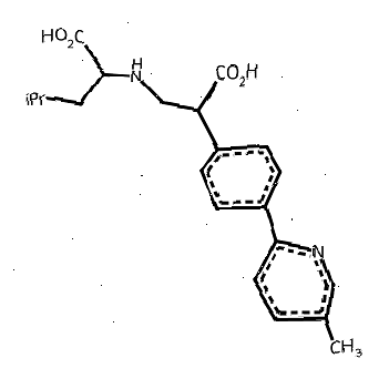 Cc1ccc(-c2ccc(C(CNC(CC(C)C)C(=O)O)C(=O)O)cc2)nc1